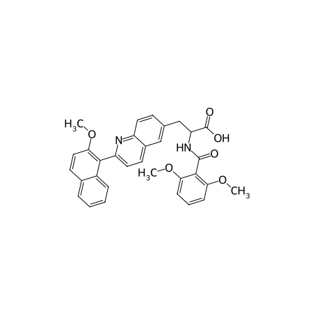 COc1cccc(OC)c1C(=O)NC(Cc1ccc2nc(-c3c(OC)ccc4ccccc34)ccc2c1)C(=O)O